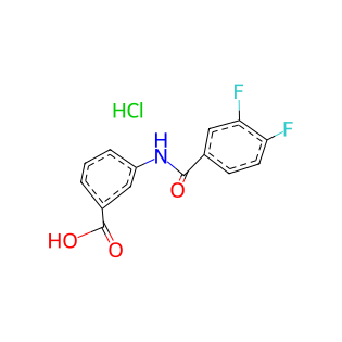 Cl.O=C(O)c1cccc(NC(=O)c2ccc(F)c(F)c2)c1